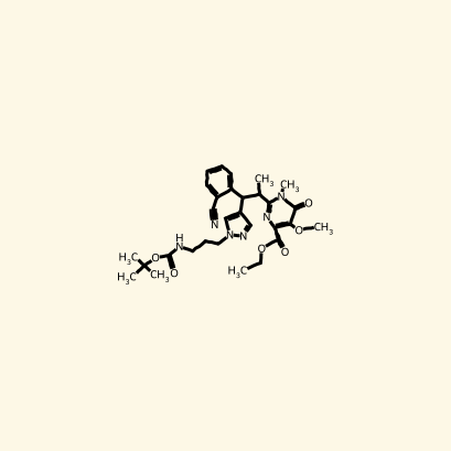 CCOC(=O)c1nc(C(C)C(c2cnn(CCCNC(=O)OC(C)(C)C)c2)c2ccccc2C#N)n(C)c(=O)c1OC